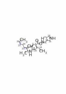 C=C(Nc1ccc(C(=O)ONCC2CCNC2)c(CC)c1)/C(C)=C/C/C=C\C